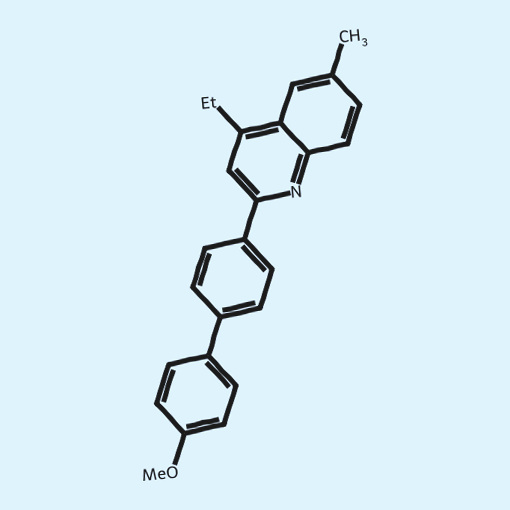 CCc1cc(-c2ccc(-c3ccc(OC)cc3)cc2)nc2ccc(C)cc12